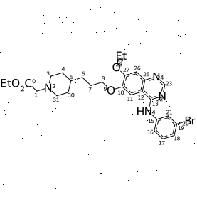 CCOC(=O)CN1CCC(CCCOc2cc3c(Nc4cccc(Br)c4)ncnc3cc2OCC)CC1